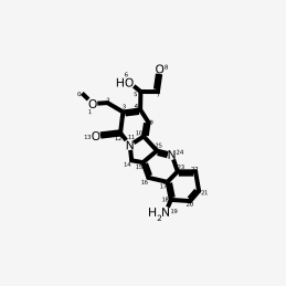 COCc1c(C(O)C=O)cc2n(c1=O)Cc1cc3c(N)cccc3nc1-2